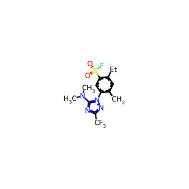 CCc1cc(C)c(-n2nc(C(F)(F)F)nc2N(C)C)cc1S(=O)(=O)F